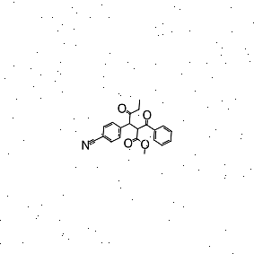 CCC(=O)C(c1ccc(C#N)cc1)C(C(=O)OC)C(=O)c1ccccc1